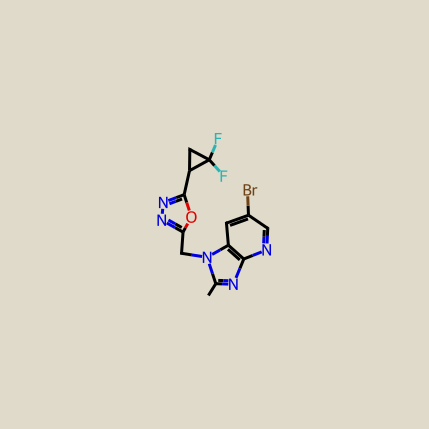 Cc1nc2ncc(Br)cc2n1Cc1nnc(C2CC2(F)F)o1